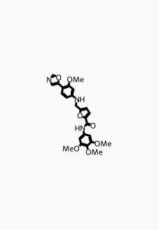 COc1cc(NCc2ccc(C(=O)Nc3cc(OC)c(OC)c(OC)c3)o2)ccc1-c1cnco1